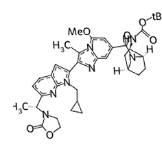 COc1cc(C(=O)N2[C@H]3CC[C@@H]2[C@H](NC(=O)OC(C)(C)C)C3)cc2nc(-c3cc4ccc([C@@H](C)N5CCOC5=O)nc4n3CC3CC3)c(C)n12